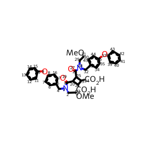 COCCN(Cc1ccc(Oc2ccccc2)cc1)C(=O)C1C(C(=O)O)C(C(=O)O)C1C(=O)N(CCOC)Cc1ccc(Oc2ccccc2)cc1